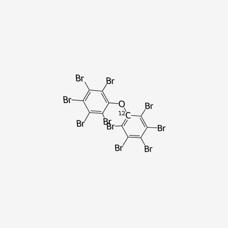 Brc1c(Br)c(Br)c(O[12c]2c(Br)c(Br)c(Br)c(Br)c2Br)c(Br)c1Br